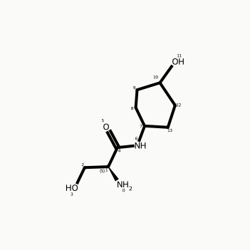 N[C@@H](CO)C(=O)NC1CCC(O)CC1